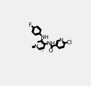 C=N/C=C\C(NC(=O)c1ccc(Cl)nc1)=C(/C)Nc1ccc(F)cc1